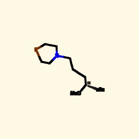 CCCC[C@@H](CCCN1CCSCC1)OC